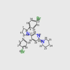 Brc1ccc([C@@H]2CC[C@@H](c3ccc(Br)cc3)N2c2ccc(N3CCCCC3)nc2)cc1